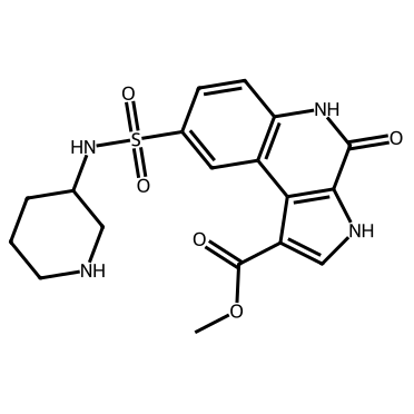 COC(=O)c1c[nH]c2c(=O)[nH]c3ccc(S(=O)(=O)NC4CCCNC4)cc3c12